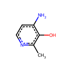 Cc1nccc(N)c1O